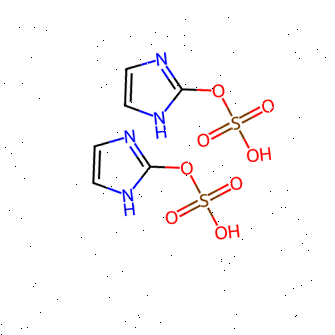 O=S(=O)(O)Oc1ncc[nH]1.O=S(=O)(O)Oc1ncc[nH]1